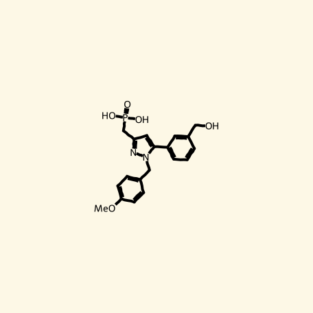 COc1ccc(Cn2nc(CP(=O)(O)O)cc2-c2cccc(CO)c2)cc1